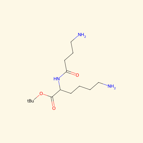 CC(C)(C)OC(=O)C(CCCCN)NC(=O)CCCN